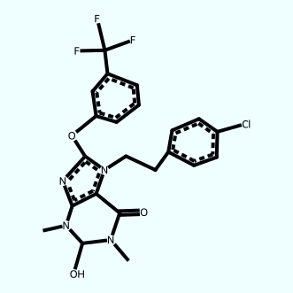 CN1C(=O)c2c(nc(Oc3cccc(C(F)(F)F)c3)n2CCc2ccc(Cl)cc2)N(C)C1O